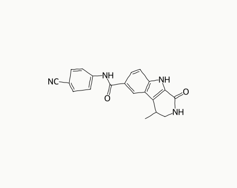 CC1CNC(=O)c2[nH]c3ccc(C(=O)Nc4ccc(C#N)cc4)cc3c21